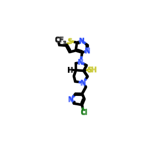 FC(F)(F)Cc1cc2c(N3C[C@H]4CCN(Cc5cncc(Cl)c5)C[C@@]4(S)C3)ncnc2s1